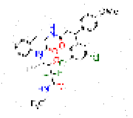 COc1ccc(C(CC(=O)N[C@@H](Cc2ccccc2)C(=O)N[C@H](C(=O)C(F)(F)C(=O)NCC(F)(F)F)C(C)C)c2cc(Cl)cc(Cl)c2)cc1